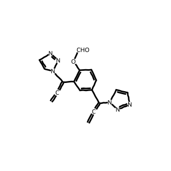 C=C=C(c1ccc(OC=O)c(C(=C=C)n2ccnn2)c1)n1ccnn1